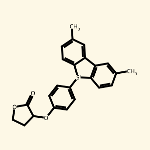 Cc1ccc2c(c1)c1cc(C)ccc1[s+]2-c1ccc(OC2CCOC2=O)cc1